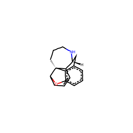 C1=CC2[C@H]3Cc4cccc5c4[C@@]2(CCCN3)C(C1)O5